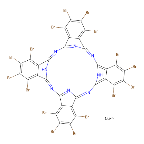 Brc1c(Br)c(Br)c2c(c1Br)-c1nc-2nc2[nH]c(nc3nc(nc4[nH]c(n1)c1c(Br)c(Br)c(Br)c(Br)c41)-c1c(Br)c(Br)c(Br)c(Br)c1-3)c1c(Br)c(Br)c(Br)c(Br)c21.[Cu+2]